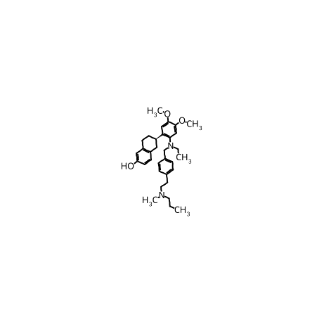 CCCN(C)CCc1ccc(CN(CC)c2cc(OC)c(OC)cc2[C@@H]2CCc3cc(O)ccc3C2)cc1